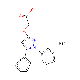 O=C([O-])COc1cc(-c2ccccc2)n(-c2ccccc2)n1.[Na+]